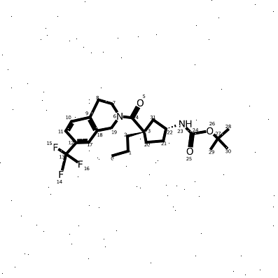 CCC[C@]1(C(=O)N2CCc3ccc(C(F)(F)F)cc3C2)CC[C@@H](NC(=O)OC(C)(C)C)C1